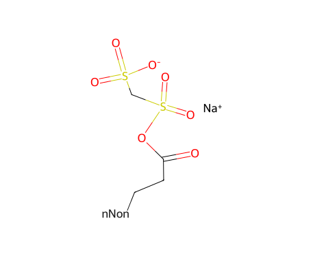 CCCCCCCCCCCC(=O)OS(=O)(=O)CS(=O)(=O)[O-].[Na+]